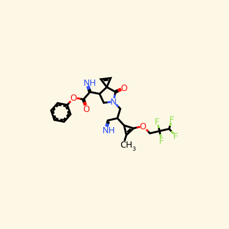 CC1=C(OCC(F)(F)C(F)F)C1C(C=N)CN1CC(C(=N)C(=O)Oc2ccccc2)C2(C=C2)C1=O